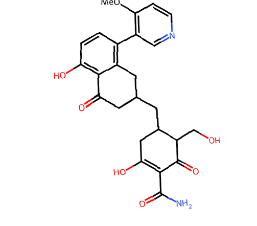 COc1ccncc1-c1ccc(O)c2c1CC(CC1CC(O)=C(C(N)=O)C(=O)C1CO)CC2=O